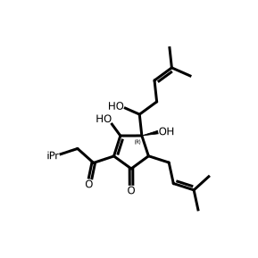 CC(C)=CCC(O)[C@@]1(O)C(O)=C(C(=O)CC(C)C)C(=O)C1CC=C(C)C